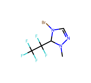 CN1N=CN(Br)C1C(F)(F)C(F)(F)F